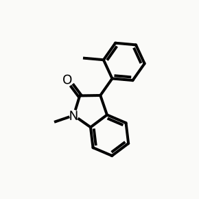 Cc1ccccc1C1C(=O)N(C)c2ccccc21